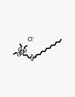 CCCCCCCCCCCC[N+](C)(C)CCC[Si](OCC)(OCC)OCC.[Cl-]